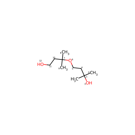 CC(C)(O)CCOC(C)(C)CCO